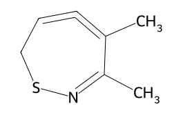 CC1=C=CCSN=C1C